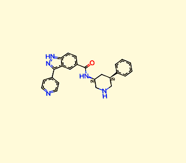 O=C(N[C@@H]1CNC[C@H](c2ccccc2)C1)c1ccc2[nH]nc(-c3ccncc3)c2c1